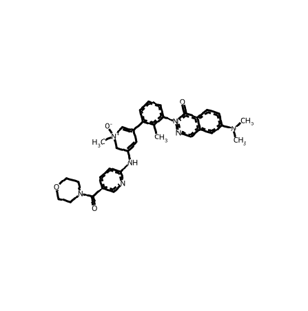 Cc1c(C2=C[N+](C)([O-])CC(Nc3ccc(C(=O)N4CCOCC4)cn3)=C2)cccc1-n1ncc2cc(N(C)C)ccc2c1=O